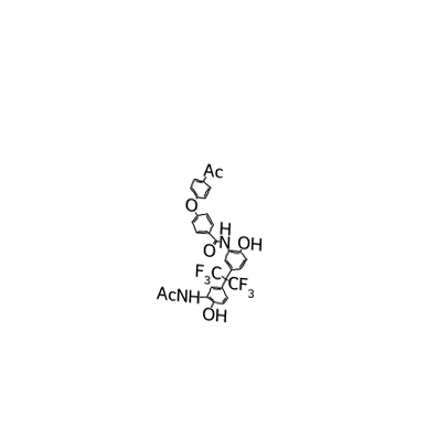 CC(=O)Nc1cc(C(c2ccc(O)c(NC(=O)c3ccc(Oc4ccc(C(C)=O)cc4)cc3)c2)(C(F)(F)F)C(F)(F)F)ccc1O